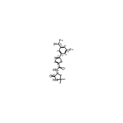 CC1(C)CC(NC(=O)c2cnc(-c3cc(F)cc(C(F)F)c3)s2)C(=O)N1